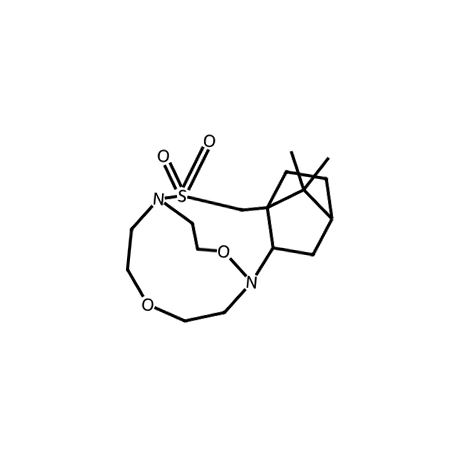 CC1(C)C2CCC13CS(=O)(=O)N1CCOCCN(OCC1)C3C2